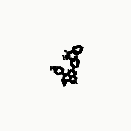 C[C@@H](Nc1cc(-c2nc(N(C)C3CCNCC3)c3c(C4CC4)cncc3n2)ccn1)c1ccccc1